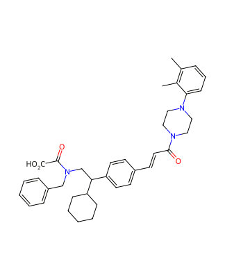 Cc1cccc(N2CCN(C(=O)C=Cc3ccc(C(CN(Cc4ccccc4)C(=O)C(=O)O)C4CCCCC4)cc3)CC2)c1C